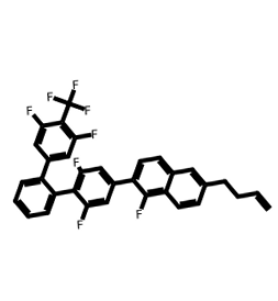 C=CCCc1ccc2c(F)c(-c3cc(F)c(-c4ccccc4-c4cc(F)c(C(F)(F)F)c(F)c4)c(F)c3)ccc2c1